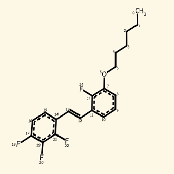 CCCCCCOc1cccc(C=Cc2ccc(F)c(F)c2F)c1F